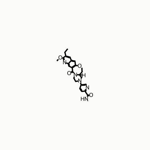 CCc1cc2cc3c(cc2nc1OC)C(=O)N1CCN(c2ccc(C(=O)NC)nc2)C[C@H]1CCO3